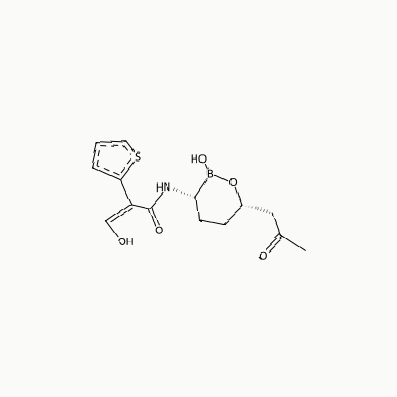 CC(=O)C[C@@H]1CC[C@H](NC(=O)/C(=C\O)c2cccs2)B(O)O1